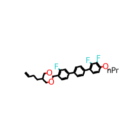 C=CCCC1COC(c2ccc(-c3ccc(-c4ccc(OCCC)c(F)c4F)cc3)cc2F)OC1